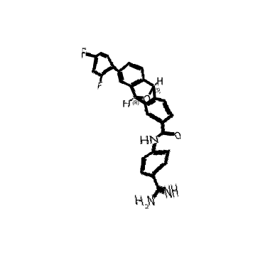 N=C(N)c1ccc(NC(=O)c2ccc3c(c2)[C@@H]2O[C@H]3c3ccc(-c4ccc(F)cc4F)cc32)cc1